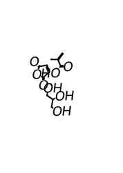 C=C(C)C(=O)O.O=C1C=CC(=O)O1.OCC(O)CO